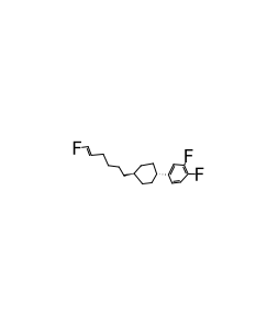 FC=CCCCC[C@H]1CC[C@H](c2ccc(F)c(F)c2)CC1